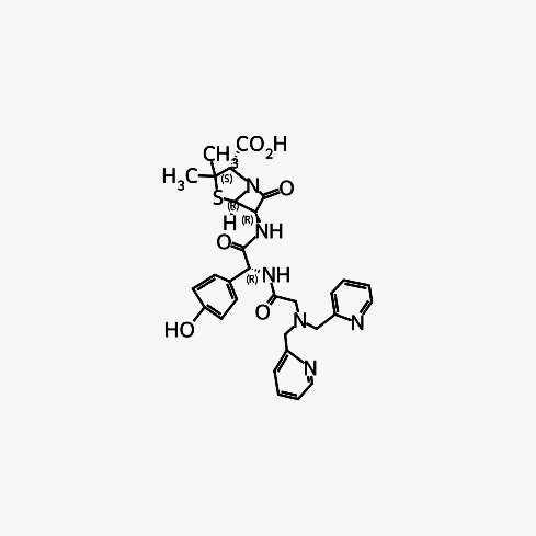 CC1(C)S[C@@H]2[C@H](NC(=O)[C@H](NC(=O)CN(Cc3ccccn3)Cc3ccccn3)c3ccc(O)cc3)C(=O)N2[C@H]1C(=O)O